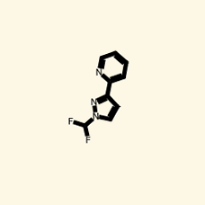 FC(F)n1c[c]c(-c2ccccn2)n1